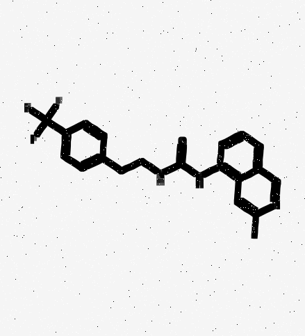 Cc1cc2c(NC(=O)NCCc3ccc(C(F)(F)F)cc3)cccc2cn1